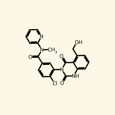 CN(C(=O)c1ccc(Cl)c(-n2c(=O)[nH]c3cccc(CO)c3c2=O)c1)c1ccccn1